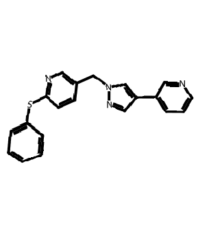 c1ccc(Sc2ccc(Cn3cc(-c4cccnc4)cn3)cn2)cc1